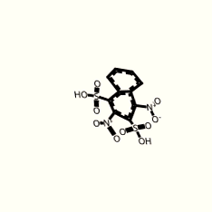 O=[N+]([O-])c1c(S(=O)(=O)O)c([N+](=O)[O-])c2ccccc2c1S(=O)(=O)O